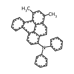 Cc1cc(C)c2c3ccccc3c3ccc(N(c4ccccc4)c4ccccc4)c4ccc1c2c43